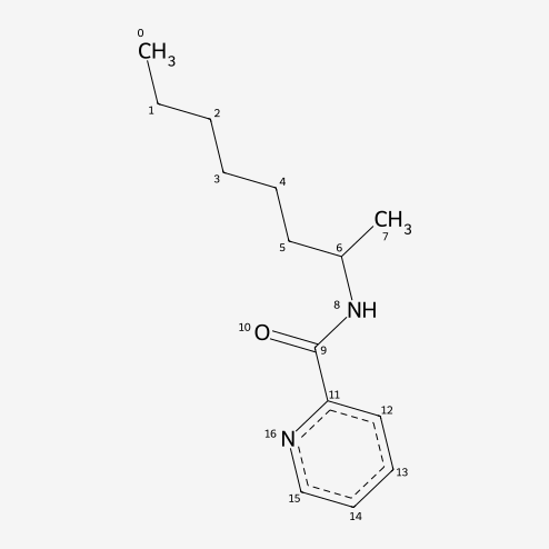 CCCCCCC(C)NC(=O)c1ccccn1